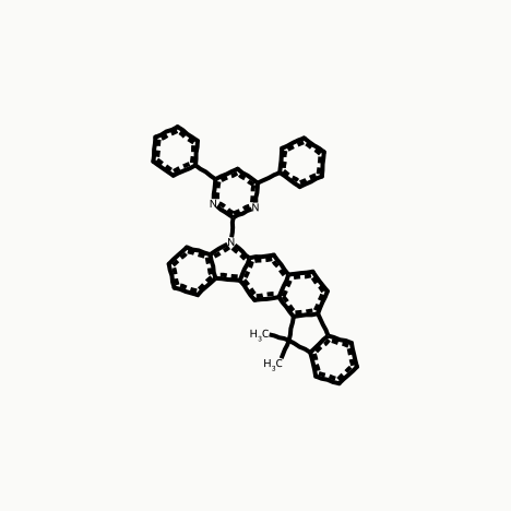 CC1(C)c2ccccc2-c2ccc3cc4c(cc3c21)c1ccccc1n4-c1nc(-c2ccccc2)cc(-c2ccccc2)n1